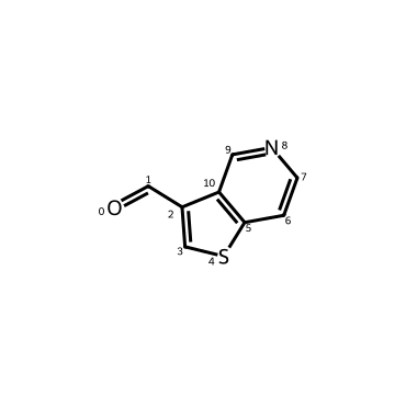 O=Cc1csc2ccncc12